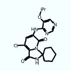 CC(C)Oc1cncnc1Nc1cc(Cl)c2n(c1=O)C1(CCCCC1)NC2=O